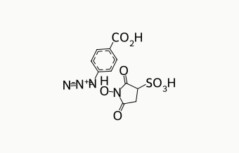 O=C1CC(S(=O)(=O)O)C(=O)N1O.[N-]=[N+]=Nc1ccc(C(=O)O)cc1